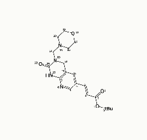 CC(C)(C)OC(=O)/C=C/c1cnc2c(c1)CN(CN1CCOCC1)C(=O)N2